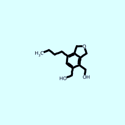 CCCCc1cc(CO)c(CO)c2c1COC2